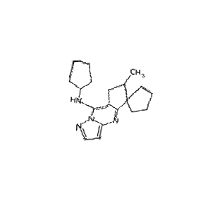 CC1Cc2c(nc3ccnn3c2NC2CCCC2)C12CCCC2